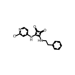 O=c1c(NCCc2ccccc2)c(Nc2ccnc(Cl)c2)c1=O